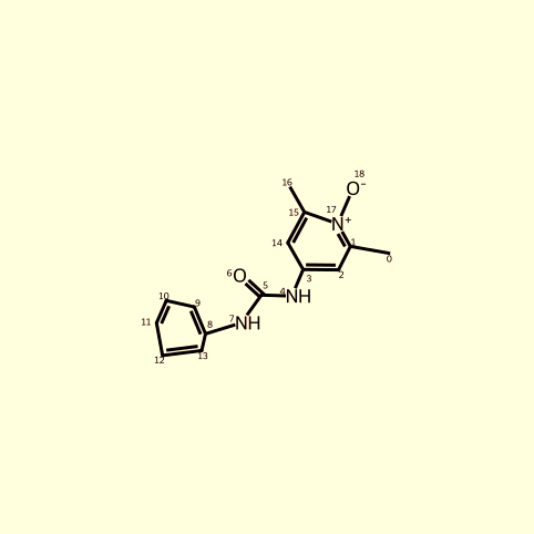 Cc1cc(NC(=O)Nc2ccccc2)cc(C)[n+]1[O-]